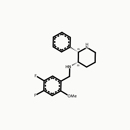 COc1cc(F)c(F)cc1CN[C@H]1CCCN[C@H]1c1ccccc1